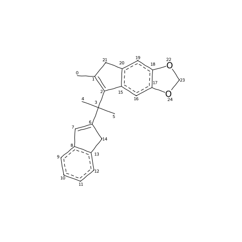 CC1=C(C(C)(C)C2=Cc3ccccc3C2)c2cc3c(cc2C1)OCO3